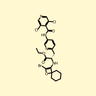 CCOC(=O)[C@H](Cc1ccc(NC(=O)c2c(Cl)cncc2Cl)cn1)NC1=C(Br)OC12CCCCC2